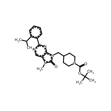 CC(C)c1ccccc1-c1ncc2c(n1)n(CC1CCN(C(=O)OC(C)(C)C)CC1)c(=O)n2C